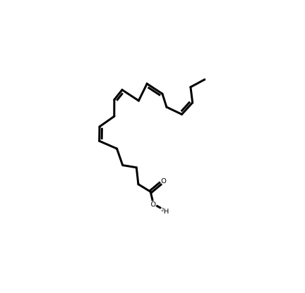 [2H]OC(=O)CCCC/C=C\C/C=C\C/C=C\C/C=C\CC